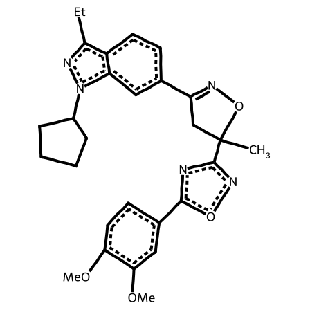 CCc1nn(C2CCCC2)c2cc(C3=NOC(C)(c4noc(-c5ccc(OC)c(OC)c5)n4)C3)ccc12